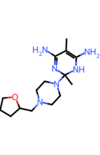 CC1=C(N)NC(C)(N2CCN(CC3CCCO3)CC2)N=C1N